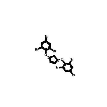 Brc1cc(Br)c(O[C@@H]2C=C[C@H](Oc3c(Br)cc(Br)cc3Br)C2)c(Br)c1